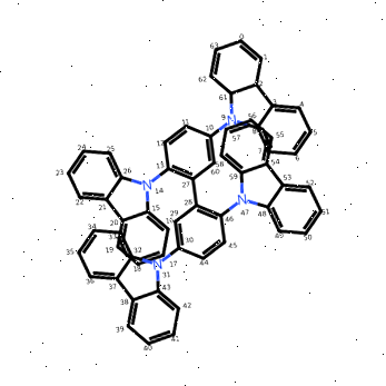 C1=CC2c3ccccc3N(c3ccc(-n4c5ccccc5c5ccccc54)c(-c4cc(-n5c6ccccc6c6ccccc65)ccc4-n4c5ccccc5c5ccccc54)c3)C2C=C1